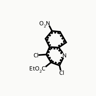 CCOC(=O)c1c(Cl)nc2ccc([N+](=O)[O-])cc2c1Cl